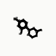 CN1CCOC(c2ccc(Br)cc2F)C1